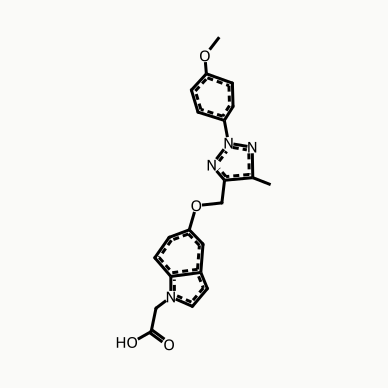 COc1ccc(-n2nc(C)c(COc3ccc4c(ccn4CC(=O)O)c3)n2)cc1